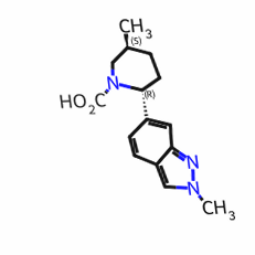 C[C@H]1CC[C@H](c2ccc3cn(C)nc3c2)N(C(=O)O)C1